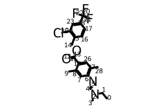 CCN(C)/C=N/c1cc(C)c(C(=O)OCc2ccc(C(F)(F)F)cc2Cl)cc1C